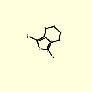 Brc1sc(Br)c2c1CCCC2